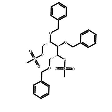 CS(=O)(=O)OC[C@H](OCc1ccccc1)[C@@H](OCc1ccccc1)[C@@H](COCc1ccccc1)OS(C)(=O)=O